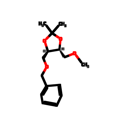 COC[C@H]1OC(C)(C)O[C@@H]1COCc1ccccc1